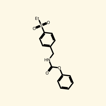 CCS(=O)(=O)c1ccc(CNC(=O)Oc2ccccc2)cc1